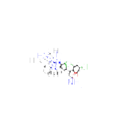 CC1CN(/C(=N\C2CCCCC2(C)C)Nc2ccc(C(CC(N)=O)c3ccc(Cl)cc3Cl)cc2)CC(C)N1